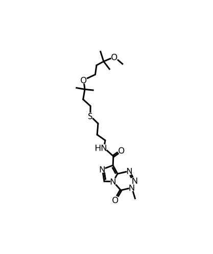 COC(C)(C)CCOC(C)(C)CCSCCCNC(=O)c1ncn2c(=O)n(C)nnc12